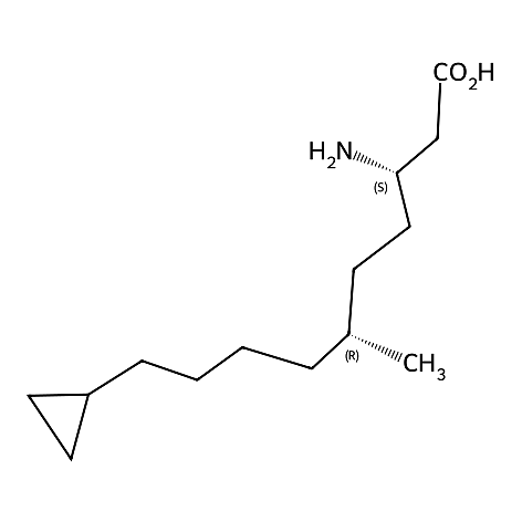 C[C@H](CCCCC1CC1)CC[C@H](N)CC(=O)O